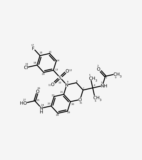 CC(=O)NC(C)(C)C1CN(S(=O)(=O)c2ccc(F)c(Cl)c2)c2cc(NC(=O)O)ccc2O1